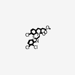 COC(=O)CC1Cc2ccc(Cl)cc2N(Cc2nc3c(Cl)c(Cl)ccc3s2)C1=O